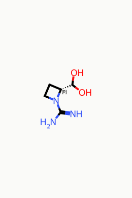 N=C(N)N1CC[C@@H]1C(O)O